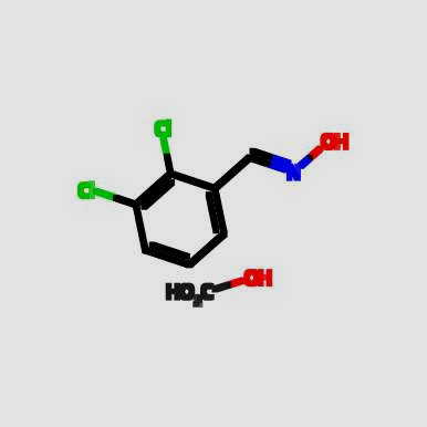 O=C(O)O.ON=Cc1cccc(Cl)c1Cl